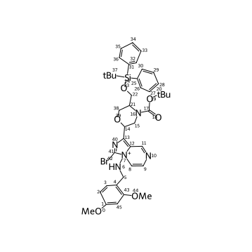 COc1ccc(CN[N+]23C=CN=CC2=C(C2CN(C(=O)OC(C)(C)C)C(CO[Si](c4ccccc4)(c4ccccc4)C(C)(C)C)CO2)N=C3Br)c(OC)c1